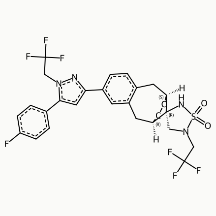 O=S1(=O)N[C@@]2(CN1CC(F)(F)F)[C@@H]1CC[C@H]2Cc2ccc(-c3cc(-c4ccc(F)cc4)n(CC(F)(F)F)n3)cc2C1